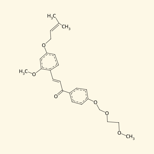 COCCOCOc1ccc(C(=O)C=Cc2ccc(OCC=C(C)C)cc2OC)cc1